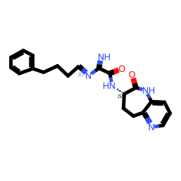 N=C(/N=C/CCCc1ccccc1)C(=O)N[C@H]1CCc2ncccc2NC1=O